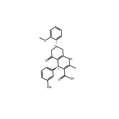 COc1ccccc1[C@H]1CC(=O)C2=C(C1)NC(C)=C(C(=O)O)[C@H]2c1cccc(O)c1